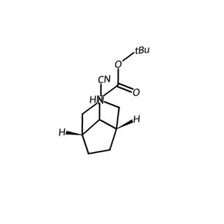 CC(C)(C)OC(=O)NC1[C@@H]2CC[C@H]1CN(C#N)C2